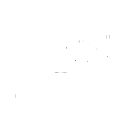 CCCOCC(=O)OC(C)(C)C